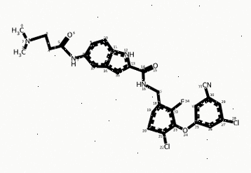 CN(C)CCC(=O)Nc1ccc2[nH]c(C(=O)NCc3ccc(Cl)c(Oc4cc(Cl)cc(C#N)c4)c3F)cc2c1